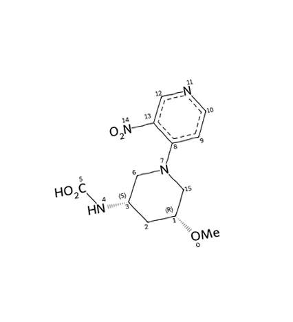 CO[C@@H]1C[C@H](NC(=O)O)CN(c2ccncc2[N+](=O)[O-])C1